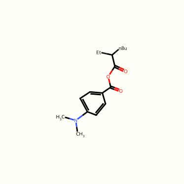 CCCCC(CC)C(=O)OC(=O)c1ccc(N(C)C)cc1